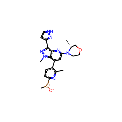 Cc1nc([S+](C)[O-])ccc1-c1cc(N2CCOC[C@H]2C)nc2c(-c3cc[nH]n3)nn(C)c12